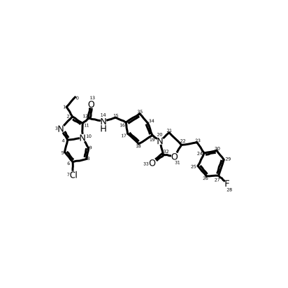 CCc1nc2cc(Cl)ccn2c1C(=O)NCc1ccc(N2CC(Cc3ccc(F)cc3)OC2=O)cc1